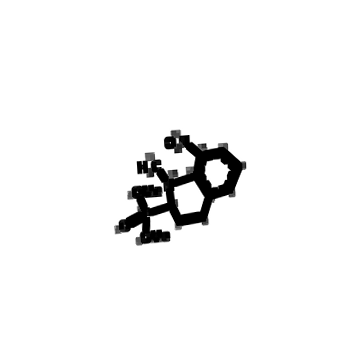 COP(=O)(OC)C1C=Cc2cccc([N+](=O)[O-])c2N1C